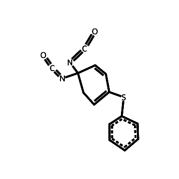 O=C=NC1(N=C=O)C=CC(Sc2ccccc2)=CC1